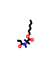 C=CC(=O)N(C)C(C)(C)C(=O)OCCCCCC